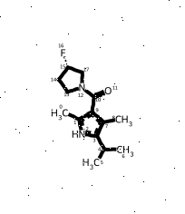 Cc1[nH]c(C(C)C)c(C)c1C(=O)N1CC[C@H](F)C1